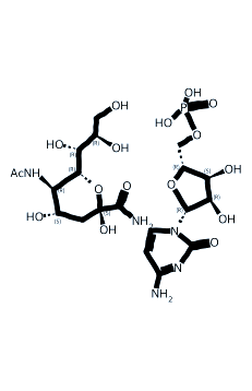 CC(=O)N[C@H]1[C@H]([C@H](O)[C@H](O)CO)O[C@](O)(C(N)=O)C[C@@H]1O.Nc1ccn([C@@H]2O[C@H](COP(=O)(O)O)[C@@H](O)[C@H]2O)c(=O)n1